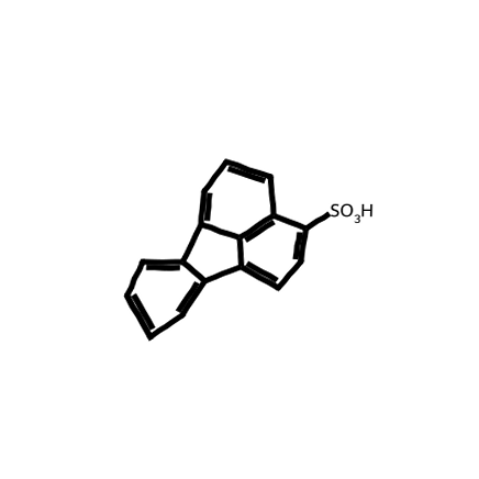 O=S(=O)(O)c1ccc2c3c(cccc13)-c1ccccc1-2